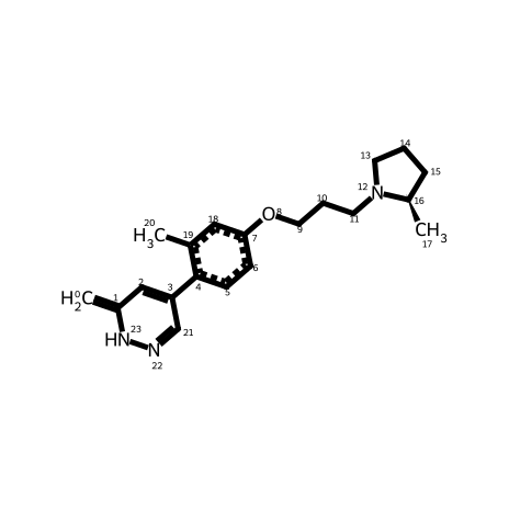 C=C1C=C(c2ccc(OCCCN3CCC[C@H]3C)cc2C)C=NN1